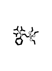 CCO[Si](CCN(c1ccccc1)[Si](C(C)C)(C(C)C)C(C)C)(OCC)OCC